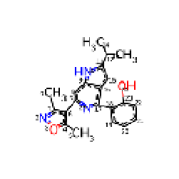 Cc1noc(C)c1-c1cc2[nH]c(C(C)C)cc2c(-c2ccccc2O)n1